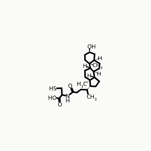 CC(CCC(=O)NC(CS)C(=O)O)[C@H]1CC[C@H]2[C@@H]3CC[C@@H]4C[C@H](O)CC[C@]4(C)[C@H]3CC[C@]12C